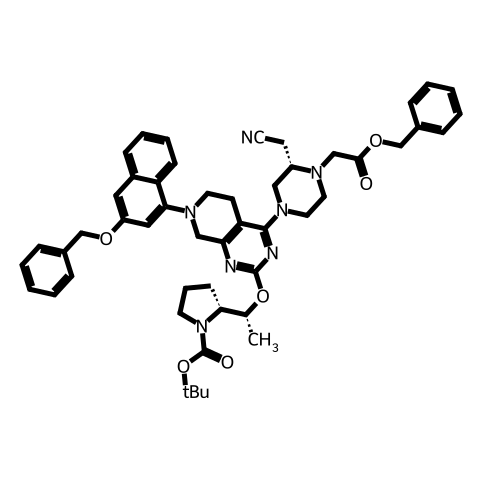 C[C@@H](Oc1nc2c(c(N3CCN(CC(=O)OCc4ccccc4)[C@@H](CC#N)C3)n1)CCN(c1cc(OCc3ccccc3)cc3ccccc13)C2)[C@H]1CCCN1C(=O)OC(C)(C)C